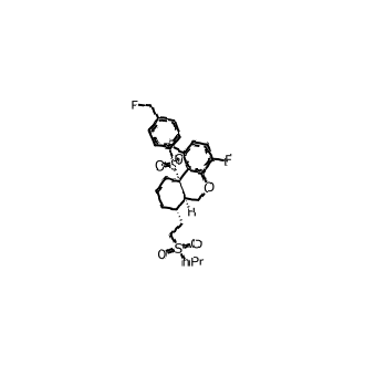 CCCS(=O)(=O)CC[C@@H]1CCC[C@@]2(S(=O)(=O)c3ccc(CF)cc3)c3c(F)ccc(F)c3OC[C@@H]12